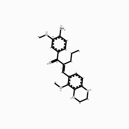 CCC/C(=C\c1ccc2c(c1OC)OCCO2)C(=O)c1ccc(N)c(OC)c1